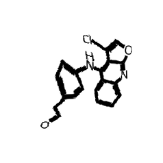 O=CCc1ccc(Nc2c3ccccc3nc3occ(Cl)c23)cc1